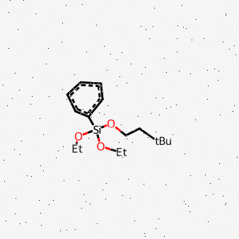 CCO[Si](OCC)(OCCC(C)(C)C)c1ccccc1